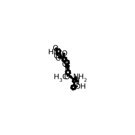 COC1(C#Cc2cc(-c3ccccc3O)nnc2N)CCC(N2CC3(CCc4cc5c(cc4O3)C(=O)N(C3CCC(=O)NC3=O)C5=O)C2)CC1